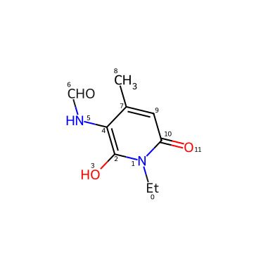 CCn1c(O)c(NC=O)c(C)cc1=O